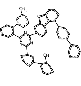 Cc1cccc(-c2ccccc2-c2nc(-c3cccc(-c4ccccc4C#N)c3)nc(-c3ccc4c(c3)oc3cccc(-c5ccc(-c6ccccc6)cc5)c34)n2)c1